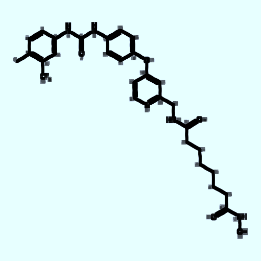 Cc1ccc(NC(=O)Nc2ccc(Oc3ccnc(CNC(=O)CCCCCCC(=O)NO)c3)cc2)cc1C(F)(F)F